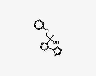 CC(O)(COc1ccccc1)c1ccsc1-c1cccs1